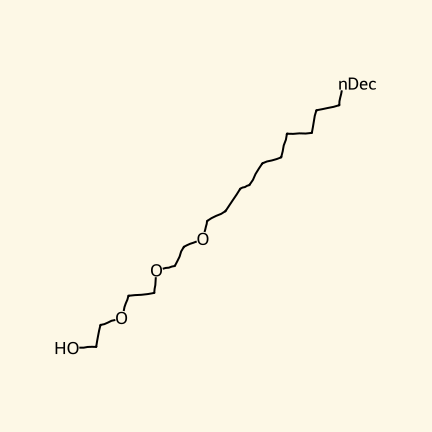 CCCCCCCCCCCCCCCCCCCCOCCOCCOCCO